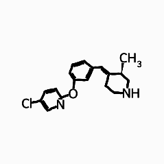 C[C@H]1CNCC/C1=C\c1cccc(Oc2ccc(Cl)cn2)c1